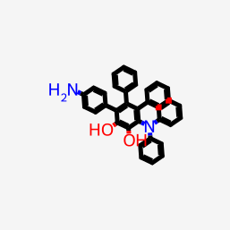 Nc1ccc(-c2c(O)c(O)c(N(c3ccccc3)c3ccccc3)c(-c3ccccc3)c2-c2ccccc2)cc1